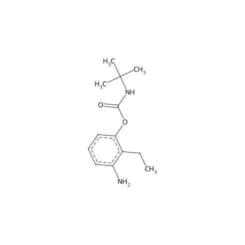 CCc1c(N)cccc1OC(=O)NC(C)(C)C